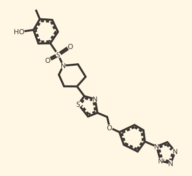 Cc1ccc(S(=O)(=O)N2CCC(c3nc(COc4ccc(-n5cnnn5)cc4)cs3)CC2)cc1O